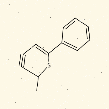 CC1C#CC=C(c2ccccc2)S1